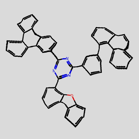 c1cc(-c2nc(-c3ccc4c5ccccc5c5ccccc5c4c3)nc(-c3cccc4c3oc3ccccc34)n2)cc(-c2cccc3ccc4ccccc4c23)c1